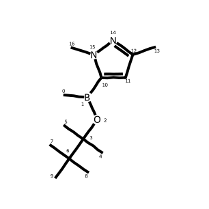 CB(OC(C)(C)C(C)(C)C)c1cc(C)nn1C